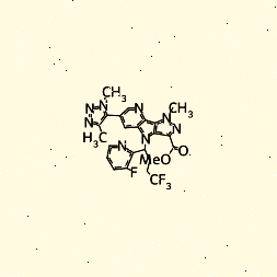 COC(=O)c1nn(C)c2c3ncc(-c4c(C)nnn4C)cc3n(C(CCC(F)(F)F)c3ncccc3F)c12